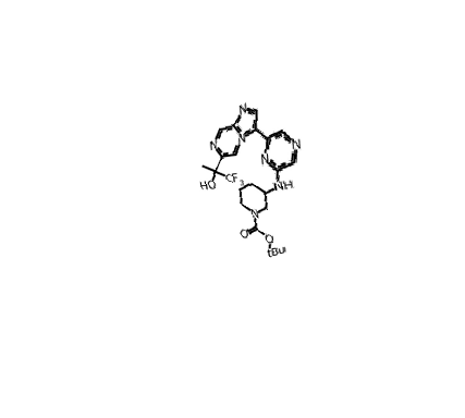 CC(C)(C)OC(=O)N1CCCC(Nc2cncc(-c3cnc4cnc(C(C)(O)C(F)(F)F)cn34)n2)C1